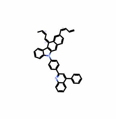 C=C/C=C\C1=C=c2c(cc3c(/c2=C/C=C\C)c2ccccc2n3-c2ccc(-c3cc(-c4ccccc4)c4ccccc4n3)cc2)C=C1